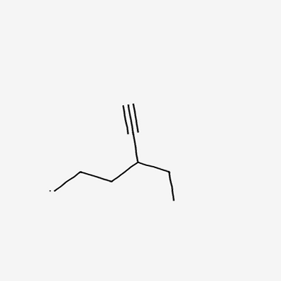 C#CC(CC)CC[CH2]